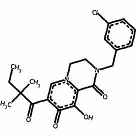 CCC(C)(C)C(=O)c1cn2c(c(O)c1=O)C(=O)N(Cc1cccc(Cl)c1)CC2